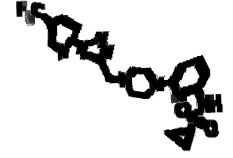 O=S(=O)(Nc1cccc(N2CCN(Cc3cn(-c4ccc(C(F)(F)F)cn4)nn3)CC2)n1)C1CC1